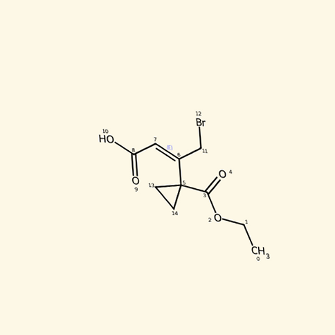 CCOC(=O)C1(/C(=C\C(=O)O)CBr)CC1